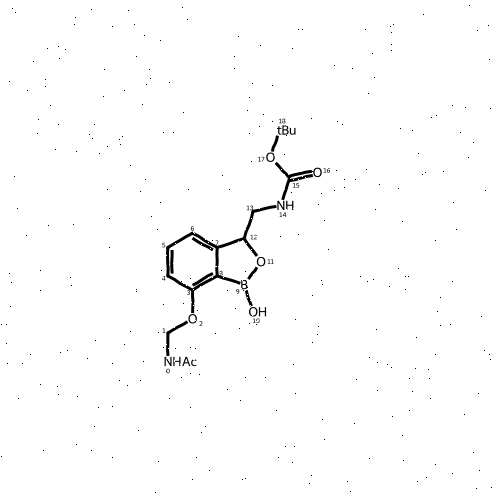 CC(=O)NCOc1cccc2c1B(O)OC2CNC(=O)OC(C)(C)C